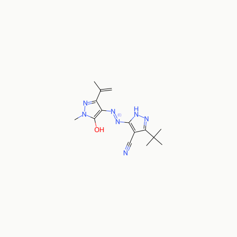 C=C(C)c1nn(C)c(O)c1/N=N/c1[nH]nc(C(C)(C)C)c1C#N